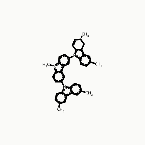 Cc1ccc2c(c1)c1c(n2-c2ccc3c(c2)c2cc(-n4c5ccc(C)cc5c5cc(C)ccc54)ccc2n3C)C=C[C@@H](C)C1